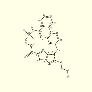 CCCCc1nc2sc(C(=O)OC)cc2n1Cc1ccc(-c2ccccc2C(=O)OC(C)(C)C)cc1